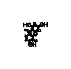 C=C1c2ccc(O)c(C)c2Oc2cc(O)cc(O)c21